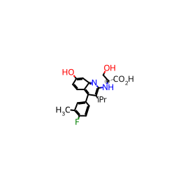 Cc1cc(-c2c(C(C)C)c(N[C@H](CO)C(=O)O)nc3cc(O)ccc23)ccc1F